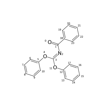 O=C(N=C(Oc1ccccc1)Oc1ccccc1)c1ccccc1